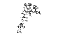 CCCNC(=O)NCC1CCN(c2ccc(CC(NC(=O)c3c(C)cc(C)cc3C)C(=O)O)cc2)CC1